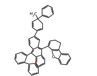 CC1(c2ccccc2)C=CC(c2ccc3c(-c4ccccc4-c4ccccc4)c4ccccc4c(C4=CCCc5c4oc4ccccc54)c3c2)=CC1